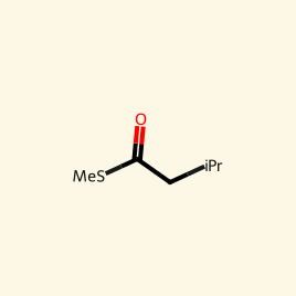 CSC(=O)CC(C)C